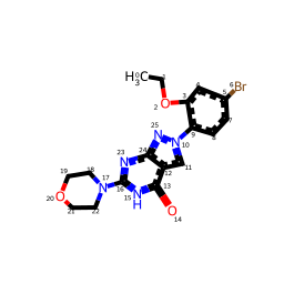 CCOc1cc(Br)ccc1-n1cc2c(=O)[nH]c(N3CCOCC3)nc2n1